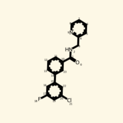 O=C(NCc1ccccn1)c1cccc(-c2cc(F)cc(Cl)c2)c1